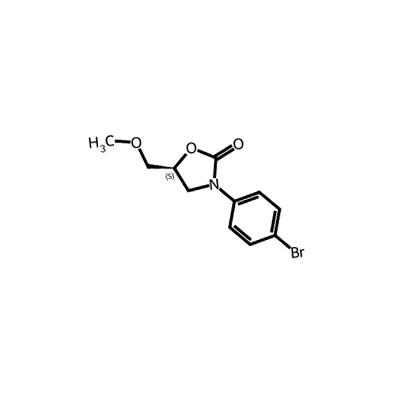 COC[C@@H]1CN(c2ccc(Br)cc2)C(=O)O1